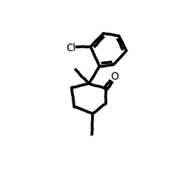 CC1CCC(C)(c2ccccc2Cl)C(=O)C1